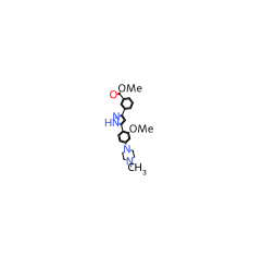 COC(=O)c1cccc(-c2cc(-c3ccc(N4CCN(C)CC4)cc3OC)[nH]n2)c1